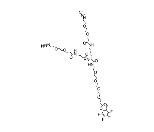 [N-]=[N+]=NCCOCCOCCC(=O)NCCCC[C@@H](NC(=O)CCCNC(=O)CCOCCOCCN=[N+]=[N-])C(=O)NCCOCCOCCOCCOCCC(=O)Oc1c(F)c(F)c(F)c(F)c1F